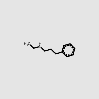 CCNC[CH]Cc1ccccc1